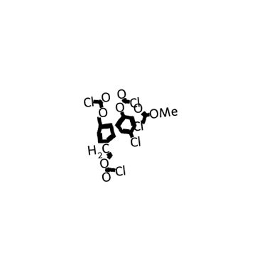 C=COC(=O)Cl.COC(=O)Cl.O=C(Cl)OCc1ccccc1.O=C(Cl)Oc1ccc(Cl)cc1